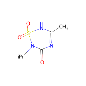 CC1=NC(=O)N(C(C)C)S(=O)(=O)N1